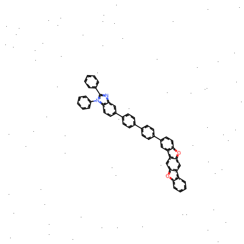 c1ccc(-c2nc3cc(-c4ccc(-c5ccc(-c6ccc7oc8cc9c(cc8c7c6)oc6ccccc69)cc5)cc4)ccc3n2-c2ccccc2)cc1